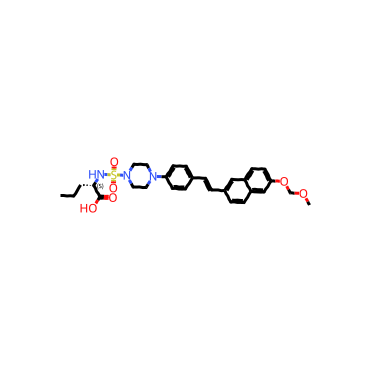 CCC[C@H](NS(=O)(=O)N1CCN(c2ccc(C=Cc3ccc4cc(OCOC)ccc4c3)cc2)CC1)C(=O)O